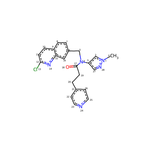 Cn1cc(N(Cc2ccc3ccc(Cl)nc3c2)C(=O)CCc2ccncc2)cn1